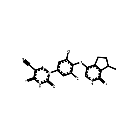 CC1CCc2c(Oc3c(Cl)cc(-n4nc(C#N)c(=O)[nH]c4=O)cc3Cl)c[nH]c(=O)c21